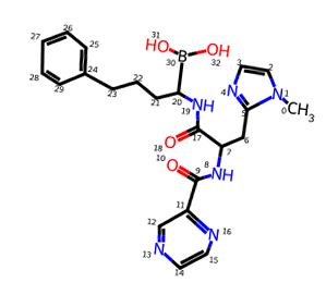 Cn1ccnc1CC(NC(=O)c1cnccn1)C(=O)NC(CCCc1ccccc1)B(O)O